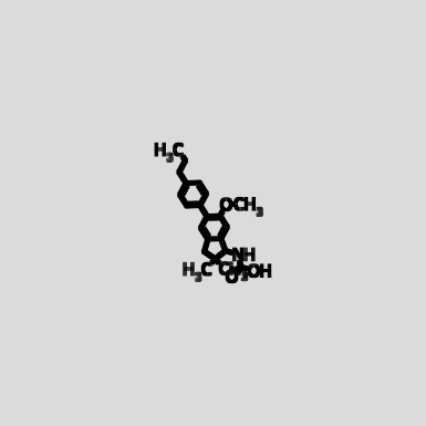 CCCc1ccc(-c2cc3c(cc2OC)C(NC(=O)O)C(C)(C)C3)cc1